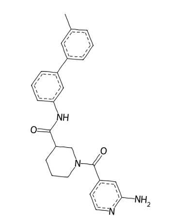 Cc1cccc(-c2cccc(NC(=O)C3CCCN(C(=O)c4ccnc(N)c4)C3)c2)c1